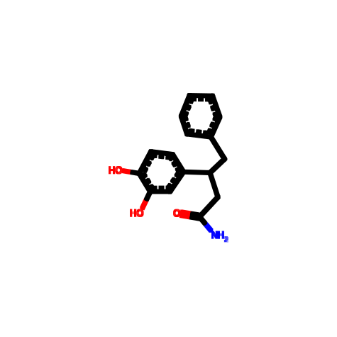 NC(=O)CC(Cc1ccccc1)c1ccc(O)c(O)c1